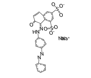 O=C1C=Cc2cc(S(=O)(=O)[O-])cc(S(=O)(=O)[O-])c2/C1=N/Nc1ccc(N=Nc2ccccc2)cc1.[Na+].[Na+]